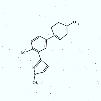 CC1CC=C(c2ccc(C#N)c(-c3ccn(C)n3)c2)CC1